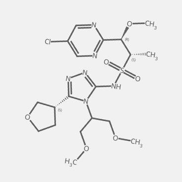 COCC(COC)n1c(NS(=O)(=O)[C@@H](C)[C@H](OC)c2ncc(Cl)cn2)nnc1[C@@H]1CCOC1